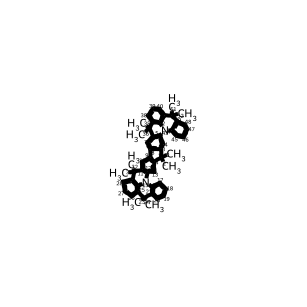 CC1(C)c2cc3c(cc2-c2cc4c(cc21)N1c2ccccc2C(C)(C)c2cccc(c21)C4(C)C)C(C)(C)c1cccc2c1N3c1ccccc1C2(C)C